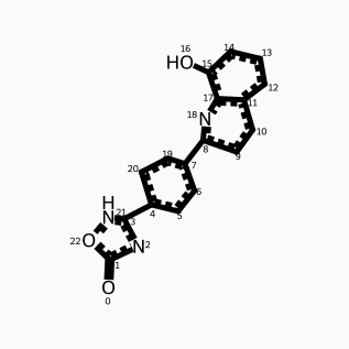 O=c1nc(-c2ccc(-c3ccc4cccc(O)c4n3)cc2)[nH]o1